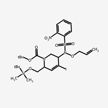 C=CCON(C1CN(C(=O)OC(C)(C)C)C(CO[Si](C)(C)C(C)(C)C)C=C1I)S(=O)(=O)c1ccccc1[N+](=O)[O-]